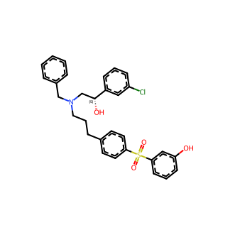 O=S(=O)(c1ccc(CCCN(Cc2ccccc2)C[C@@H](O)c2cccc(Cl)c2)cc1)c1cccc(O)c1